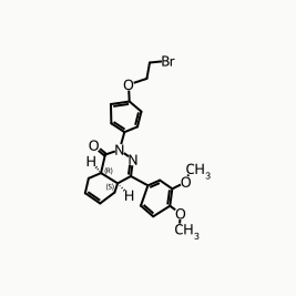 COc1ccc(C2=NN(c3ccc(OCCBr)cc3)C(=O)[C@@H]3CC=CC[C@H]23)cc1OC